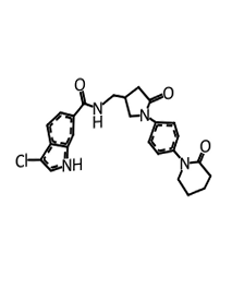 O=C(NCC1CC(=O)N(c2ccc(N3CCCCC3=O)cc2)C1)c1ccc2c(Cl)c[nH]c2c1